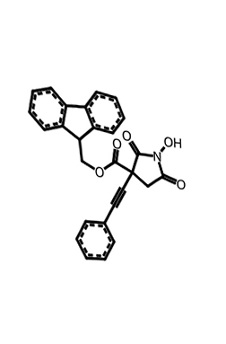 O=C1CC(C#Cc2ccccc2)(C(=O)OCC2c3ccccc3-c3ccccc32)C(=O)N1O